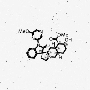 COC(=O)[C@@H]1[C@H]2C[C@@H]3N(CC[C@@]34C(=O)N(c3cncc(OC)n3)c3ccccc34)C[C@@H]2CC[C@@H]1O